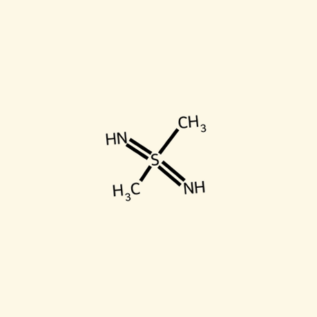 CS(C)(=N)=N